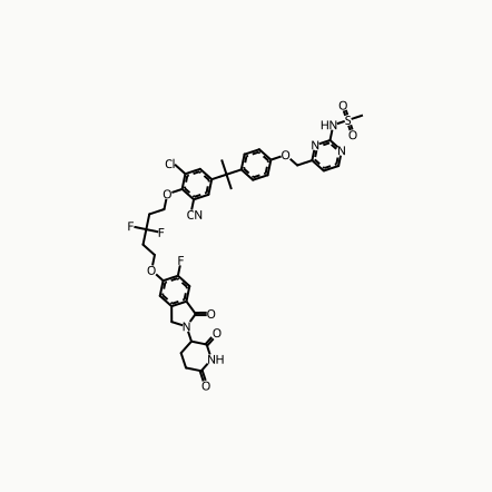 CC(C)(c1ccc(OCc2ccnc(NS(C)(=O)=O)n2)cc1)c1cc(Cl)c(OCCC(F)(F)CCOc2cc3c(cc2F)C(=O)N(C2CCC(=O)NC2=O)C3)c(C#N)c1